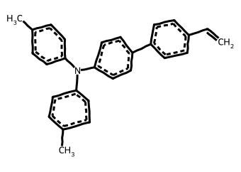 C=Cc1ccc(-c2ccc(N(c3ccc(C)cc3)c3ccc(C)cc3)cc2)cc1